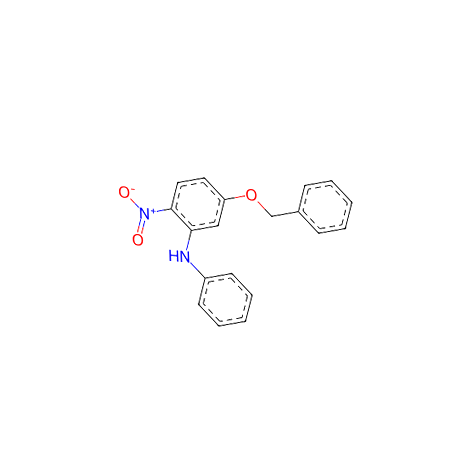 O=[N+]([O-])c1ccc(OCc2ccccc2)cc1Nc1ccccc1